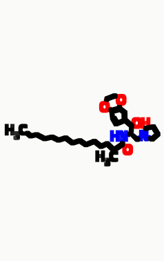 CCCCCCCCCCCCCC(C)C(=O)N[C@H](CN1CCCC1)[C@H](O)c1ccc2c(c1)OCCO2